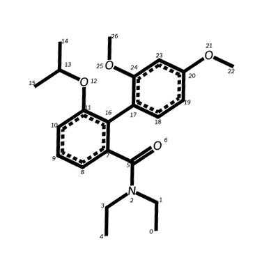 CCN(CC)C(=O)c1cccc(OC(C)C)c1-c1ccc(OC)cc1OC